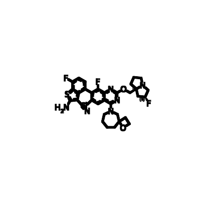 N#Cc1c(N)sc2c(F)ccc(-c3c(Cl)cc4c(N5CCCCC6(CCO6)C5)nc(OC[C@@]56CCCN5C[C@H](F)C6)nc4c3F)c12